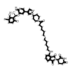 C[C@@H](Oc1cc(-c2cnn(C3CCN(C(=O)CCCCCSCCCCCNc4cccc5c4C(=O)N(C4CCC(=O)NC4=O)C5=O)CC3)c2)cnc1N)c1c(Cl)ccc(F)c1Cl